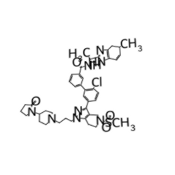 CC1C=Cc2[nH]c(C(C)NC(=O)c3cccc(-c4cc(-c5nn(CCCN6CCC(N7CCCC7=O)CC6)c6c5CN(S(C)(=O)=O)CC6)ccc4Cl)c3)nc2C1